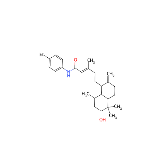 C=C1CCC2C(C(C)CC(O)C2(C)C)C1CCC(C)=CC(=O)Nc1ccc(CC)cc1